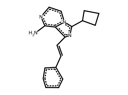 Nc1nccn2c(C3CCC3)nc(C=Cc3ccccc3)c12